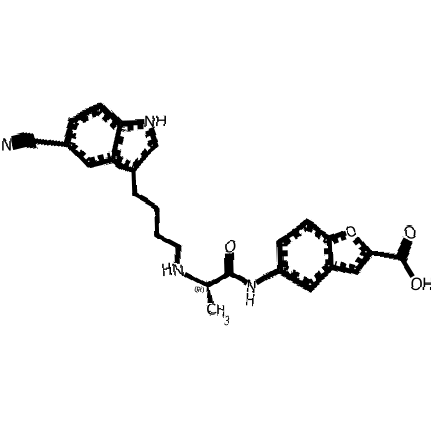 C[C@@H](NCCCCc1c[nH]c2ccc(C#N)cc12)C(=O)Nc1ccc2oc(C(=O)O)cc2c1